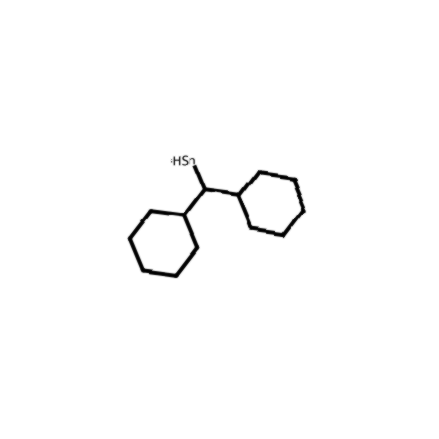 [SnH][CH](C1CCCCC1)C1CCCCC1